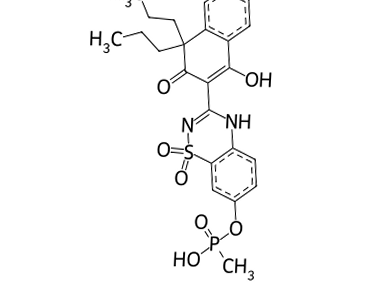 CCCC1(CCC)C(=O)C(C2=NS(=O)(=O)c3cc(OP(C)(=O)O)ccc3N2)=C(O)c2ccccc21